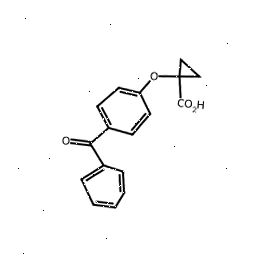 O=C(c1ccccc1)c1ccc(OC2(C(=O)O)CC2)cc1